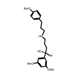 COc1ccc(CCCNCCC[C@@](C#N)(c2cc(OC)cc(OC)c2)C(C)C)cc1